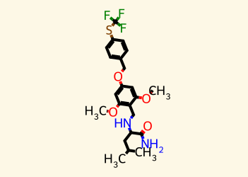 COc1cc(OCc2ccc(SC(F)(F)F)cc2)cc(OC)c1CNC(CC(C)C)C(N)=O